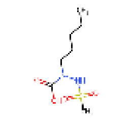 CCCCCN(NS(C)(=O)=O)C(=O)O